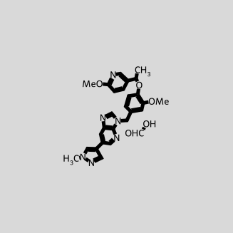 COc1ccc(C(C)Oc2ccc(Cn3cnc4cc(-c5cnn(C)c5)cnc43)cc2OC)cn1.O=CO